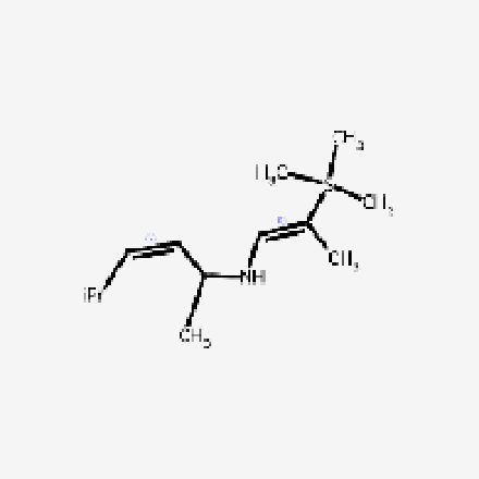 C/C(=C\NC(C)/C=C\C(C)C)S(C)(C)C